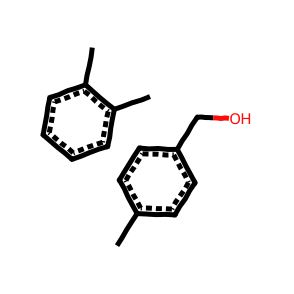 Cc1ccc(CO)cc1.Cc1ccccc1C